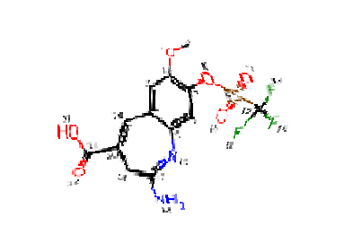 COc1cc2c(cc1OS(=O)(=O)C(F)(F)F)N=C(N)CC(C(=O)O)=C2